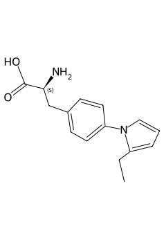 CCc1cccn1-c1ccc(C[C@H](N)C(=O)O)cc1